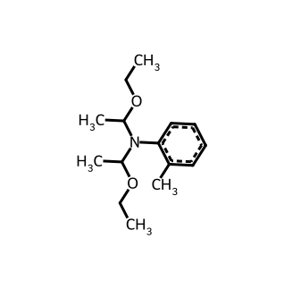 CCOC(C)N(c1ccccc1C)C(C)OCC